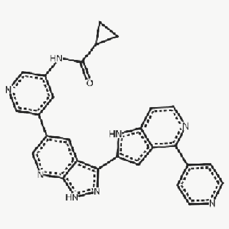 O=C(Nc1cncc(-c2cnc3[nH]nc(-c4cc5c(-c6ccncc6)nccc5[nH]4)c3c2)c1)C1CC1